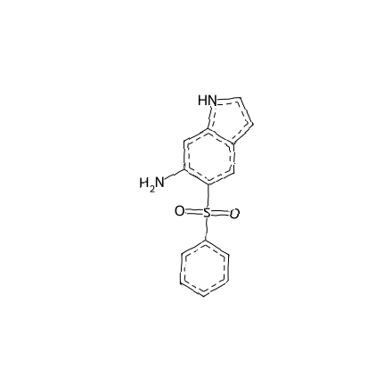 Nc1cc2[nH]ccc2cc1S(=O)(=O)c1ccccc1